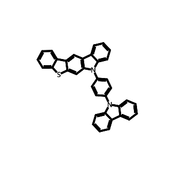 c1ccc2c(c1)sc1cc3c(cc12)c1ccccc1n3-c1ccc(-n2c3ccccc3c3ccccc32)cc1